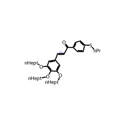 CCCCCCCOc1cc(/C=C/C(=O)c2ccc(SCCC)cc2)cc(OCCCCCCC)c1OCCCCCCC